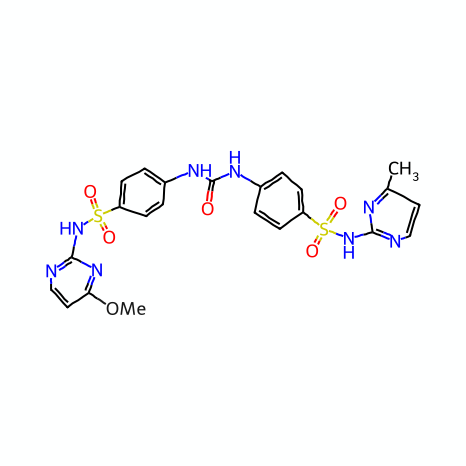 COc1ccnc(NS(=O)(=O)c2ccc(NC(=O)Nc3ccc(S(=O)(=O)Nc4nccc(C)n4)cc3)cc2)n1